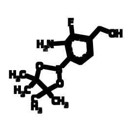 CC1(C)OB(c2ccc(CO)c(F)c2N)OC1(C)C